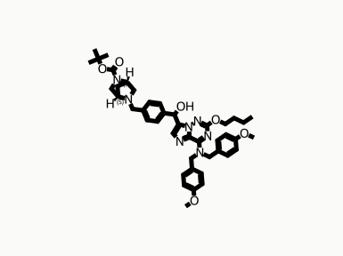 CCCCOc1nc(N(Cc2ccc(OC)cc2)Cc2ccc(OC)cc2)c2ncc(C(O)c3ccc(CN4C[C@@H]5C[C@H]4CN5C(=O)OC(C)(C)C)cc3)n2n1